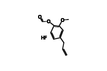 C=CCc1ccc(OC=O)c(OC)c1.F